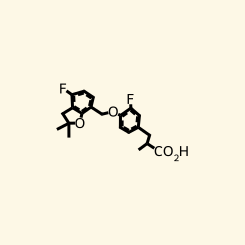 CC(Cc1ccc(OCc2ccc(F)c3c2OC(C)(C)C3)c(F)c1)C(=O)O